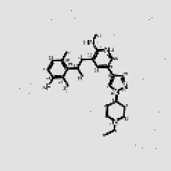 CCN1CCC(n2cc(-c3cnc(NC)c(CC(C)c4c(C)ccc(F)c4C)c3)cn2)CC1